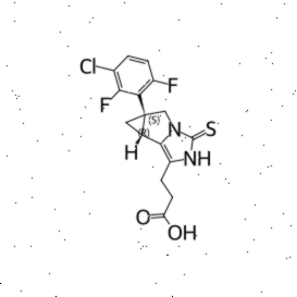 O=C(O)CCc1[nH]c(=S)n2c1[C@@H]1C[C@]1(c1c(F)ccc(Cl)c1F)C2